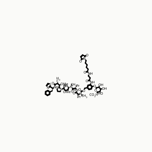 CC[C@H](C)[C@@H]([C@@H](CC(=O)N1CCC[C@H]1[C@H](OC)[C@@H](C)C(=O)N[C@@H](Cc1ccccc1)c1nccs1)OC)N(C)C(=O)[C@@H](NC(=O)[C@H](C(C)C)N(C)C(=O)OCc1ccc(O[C@@H]2OC(C(=O)O)[C@@H](O)C(O)C2O)c(NC(=O)CCNC(=O)CCCCCN2C(=O)C=CC2=O)c1)C(C)C